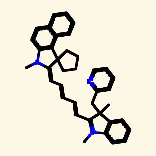 CN1/C(=C/C=C/C=C/C2=[N+](C)c3ccccc3C2(C)Cc2ccccn2)C2(CCCC2)c2c1ccc1ccccc21